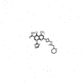 Cc1cc(N2CC(ONCC3CCCCO3)C2)nc2c1c(=O)c(C(=O)O)cn2-c1ncns1